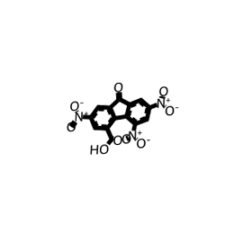 O=C(O)c1cc([N+](=O)[O-])cc2c1-c1c(cc([N+](=O)[O-])cc1[N+](=O)[O-])C2=O